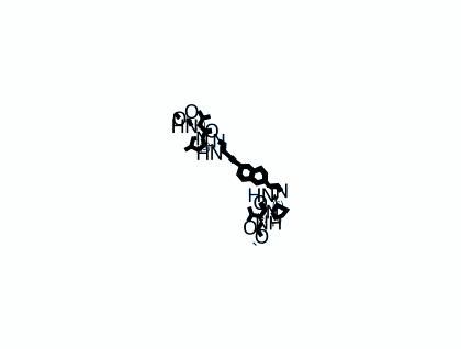 COC(=O)N[C@H](C(=O)N1CC(C)C[C@H]1c1ncc(C#Cc2ccc3cc(-c4cnc([C@@H]5CC[C@H](C)N5C(=O)[C@@H](NC(=O)OC)C(C)C)[nH]4)ccc3c2)[nH]1)C(C)C